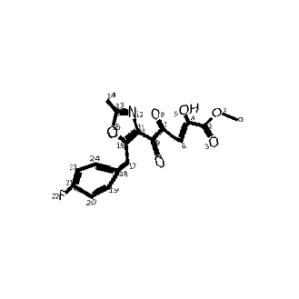 COC(=O)C(O)=CC(=O)C(=O)c1nc(C)oc1Cc1ccc(F)cc1